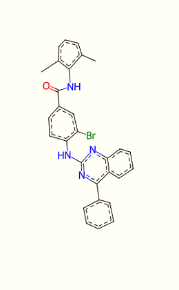 Cc1cccc(C)c1NC(=O)c1ccc(Nc2nc(-c3ccccc3)c3ccccc3n2)c(Br)c1